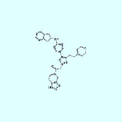 O=C(Cn1cc(-c2cnc(NC3Cc4ccccc4C3)nc2)c(CCN2CCOCC2)n1)N1CCc2[nH]nnc2C1